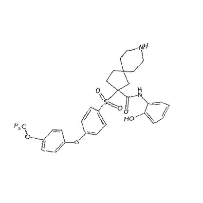 O=C(Nc1ccccc1O)C1(S(=O)(=O)c2ccc(Oc3ccc(OC(F)(F)F)cc3)cc2)CCC2(CCNCC2)C1